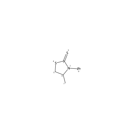 CC(C)N1C(=S)SCC1C